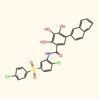 O=C(Nc1cc(S(=O)(=O)c2ccc(Cl)cc2)ccc1Cl)c1cc(-c2ccc3ccccc3c2)c(O)c(O)c1O